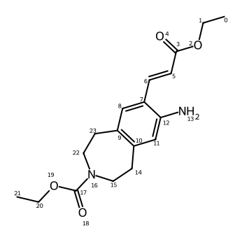 CCOC(=O)/C=C/c1cc2c(cc1N)CCN(C(=O)OCC)CC2